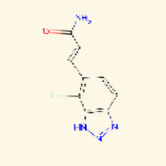 NC(=O)C=Cc1ccc2nn[nH]c2c1F